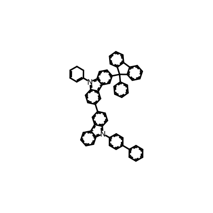 C1=CCCC(n2c3ccc(-c4ccc5c(c4)c4ccccc4n5-c4ccc(-c5ccccc5)cc4)cc3c3cc(C4(c5ccccc5)c5ccccc5-c5ccccc54)ccc32)=C1